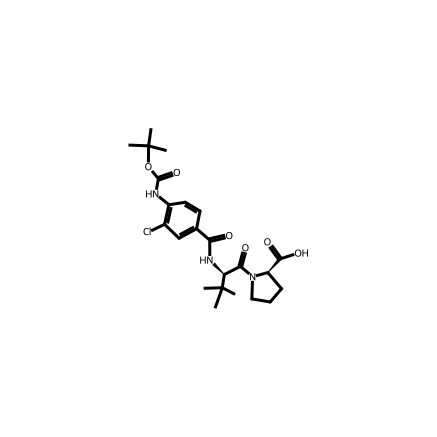 CC(C)(C)OC(=O)Nc1ccc(C(=O)N[C@@H](C(=O)N2CCC[C@@H]2C(=O)O)C(C)(C)C)cc1Cl